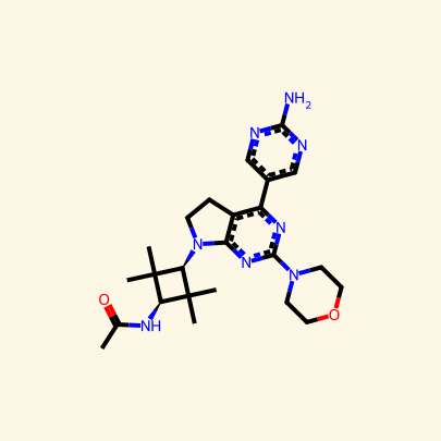 CC(=O)N[C@H]1C(C)(C)[C@@H](N2CCc3c(-c4cnc(N)nc4)nc(N4CCOCC4)nc32)C1(C)C